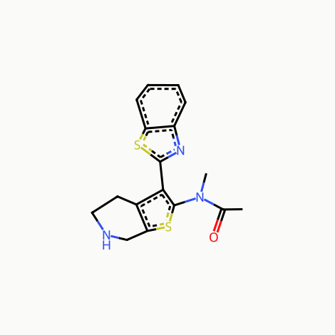 CC(=O)N(C)c1sc2c(c1-c1nc3ccccc3s1)CCNC2